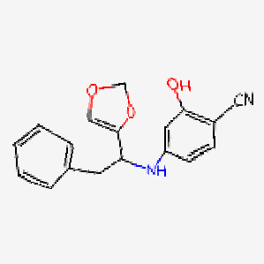 N#Cc1ccc(NC(Cc2ccccc2)C2=COCO2)cc1O